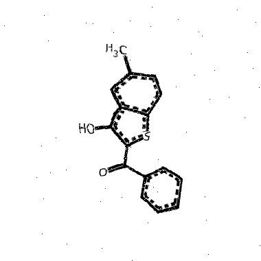 Cc1ccc2sc(C(=O)c3ccccc3)c(O)c2c1